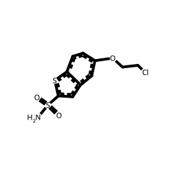 NS(=O)(=O)c1cc2cc(OCCCl)ccc2s1